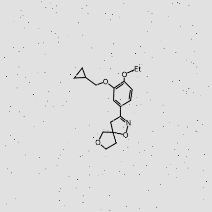 CCOc1ccc(C2=NOC3(CCOC3)C2)cc1OCC1CC1